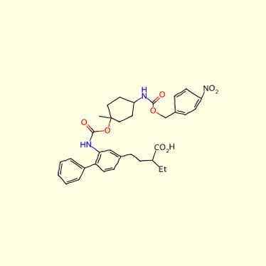 CCC(CCc1ccc(-c2ccccc2)c(NC(=O)OC2(C)CCC(NC(=O)OCc3ccc([N+](=O)[O-])cc3)CC2)c1)C(=O)O